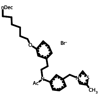 CCCCCCCCCCCCCCCCOc1cccc(CCN(C(C)=O)c2cccc(C[n+]3csc(C)c3)c2)c1.[Br-]